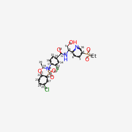 CCS(=O)(=O)c1ccc(C(CO)NC(=O)c2ccc(N3[C@H](C)Oc4ccc(Cl)cc4S3(=O)=O)c(F)c2)nc1